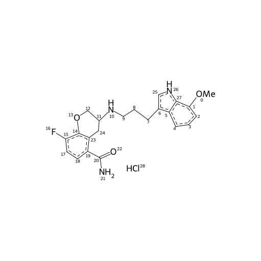 COc1cccc2c(CCCNC3COc4c(F)ccc(C(N)=O)c4C3)c[nH]c12.Cl